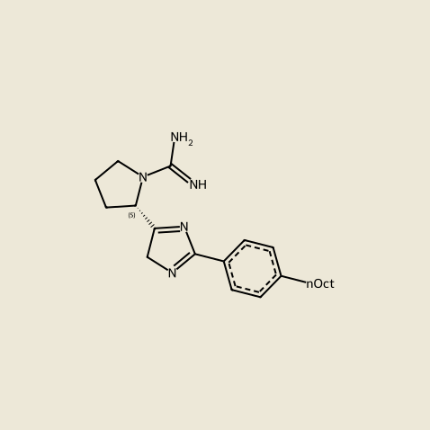 CCCCCCCCc1ccc(C2=NCC([C@@H]3CCCN3C(=N)N)=N2)cc1